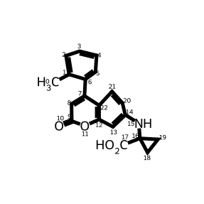 Cc1ccccc1-c1cc(=O)oc2cc(NC3(C(=O)O)CC3)ccc12